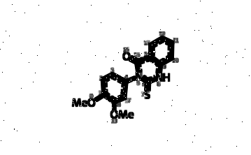 COc1ccc(-n2c(=S)[nH]c3ccccc3c2=O)cc1OC